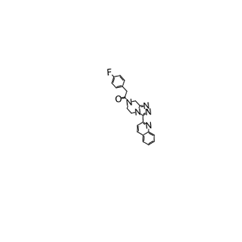 O=C(Cc1ccc(F)cc1)N1CCn2c(nnc2-c2ccc3ccccc3n2)C1